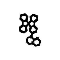 c1ccc2c(c1)-c1ccccc1C21c2ccccc2-c2ccc(N3CCCN4CCCN=C43)cc21